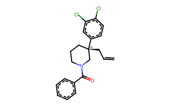 C=CC[C@]1(c2ccc(Cl)c(Cl)c2)CCCN(C(=O)c2ccccc2)C1